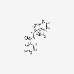 B[C@@](C=C)(/C=C/C(=O)c1ccccc1)c1ccccc1